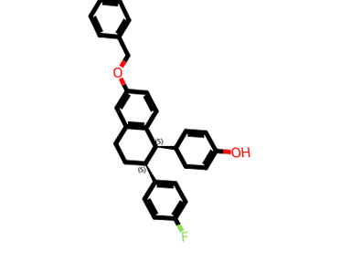 OC1=CCC([C@@H]2c3ccc(OCc4ccccc4)cc3CC[C@@H]2c2ccc(F)cc2)C=C1